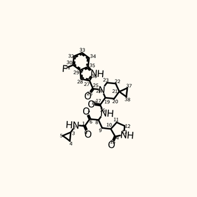 O=C(NC1CC1)C(=O)C(CC1CCNC1=O)NC(=O)C1CC2(CCN1C(=O)c1cc3c(F)cccc3[nH]1)CC2